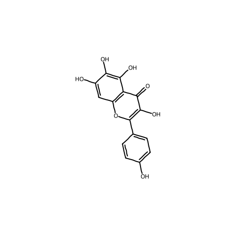 O=c1c(O)c(-c2ccc(O)cc2)oc2cc(O)c(O)c(O)c12